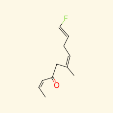 C/C=C\C(=O)C/C(C)=C\CC=CF